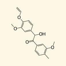 C=COc1ccc(C(O)C(=O)c2ccc(C)c(OC)c2)cc1OC